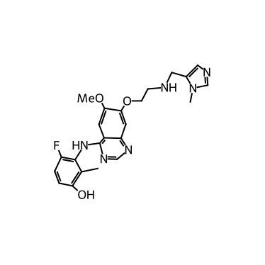 COc1cc2c(Nc3c(F)ccc(O)c3C)ncnc2cc1OCCNCc1cncn1C